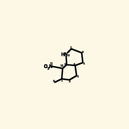 CC1CCC2CCCNC2C1[N+](=O)[O-]